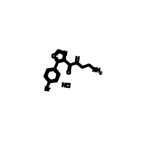 Cl.NCCNC(=O)c1ncoc1-c1ccc(Br)cc1